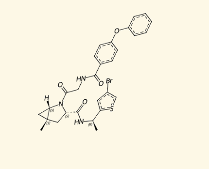 C[C@@H](NC(=O)[C@@H]1C[C@]2(C)C[C@@H]2N1C(=O)CNC(=O)c1ccc(Oc2ccccc2)cc1)c1cc(Br)cs1